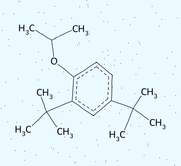 CC(C)Oc1ccc(C(C)(C)C)cc1C(C)(C)C